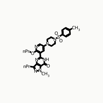 CCCOc1ncc(N2CCN(S(=O)(=O)c3ccc(C)cc3)CC2)cc1-c1nc2c(CCC)nn(C)c2c(=O)[nH]1